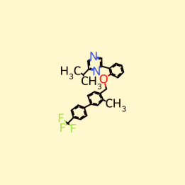 Cc1cc(-c2ccc(C(F)(F)F)cc2)ccc1COc1ccccc1-c1cncc(C(C)C)n1